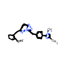 Cc1cn(C)c(-c2ccc(Cc3nnc4ccc(-c5ccccc5C(C)C)nn34)cc2)n1